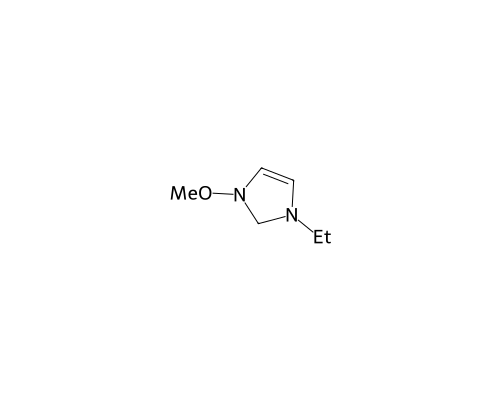 CCN1C=CN(OC)C1